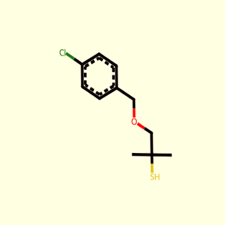 CC(C)(S)COCc1ccc(Cl)cc1